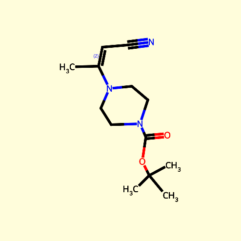 C/C(=C/C#N)N1CCN(C(=O)OC(C)(C)C)CC1